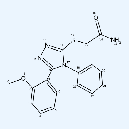 COc1ccccc1-c1nnc(SCC(N)=O)n1-c1ccccc1